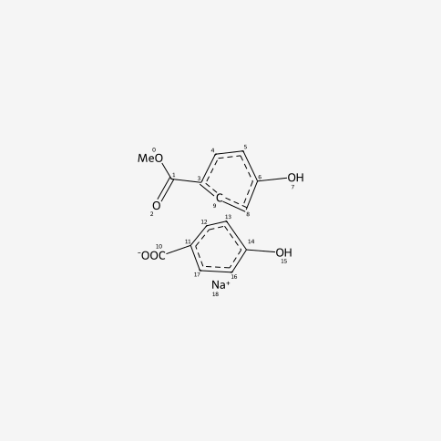 COC(=O)c1ccc(O)cc1.O=C([O-])c1ccc(O)cc1.[Na+]